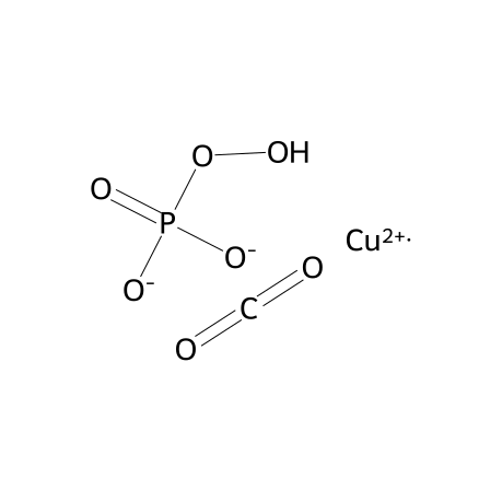 O=C=O.O=P([O-])([O-])OO.[Cu+2]